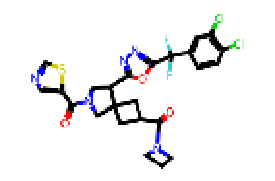 O=C(c1cncs1)N1CC(c2nnc(C(F)(F)c3ccc(Cl)c(Cl)c3)o2)C2(CC(C(=O)N3CCC3)C2)C1